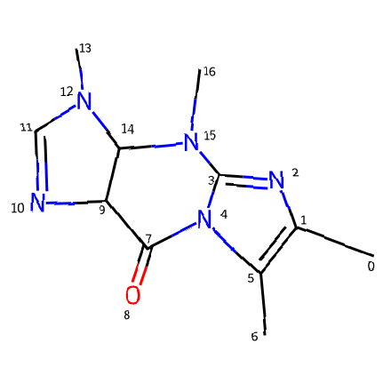 Cc1nc2n(c1C)C(=O)C1N=CN(C)C1N2C